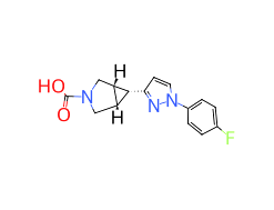 O=C(O)N1C[C@@H]2[C@H](C1)[C@@H]2c1ccn(-c2ccc(F)cc2)n1